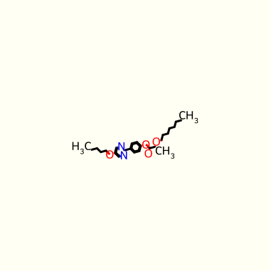 CCCCCCCCOC(C)C(=O)Oc1ccc(-c2ncc(OCCCCC)cn2)cc1